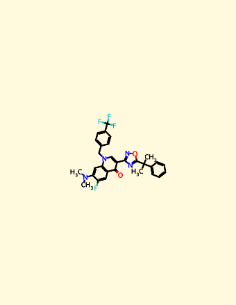 CN(C)c1cc2c(cc1F)c(=O)c(-c1noc(C(C)(C)c3ccccc3)n1)cn2Cc1ccc(C(F)(F)F)cc1